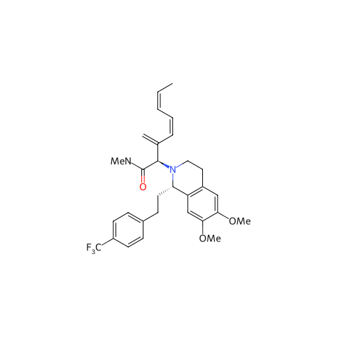 C=C(/C=C\C=C/C)[C@H](C(=O)NC)N1CCc2cc(OC)c(OC)cc2[C@@H]1CCc1ccc(C(F)(F)F)cc1